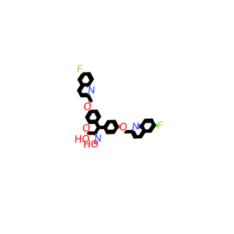 O=C(O)C(=NO)C(c1ccc(OCc2ccc3cc(F)ccc3n2)cc1)c1ccc(OCc2ccc3cc(F)ccc3n2)cc1